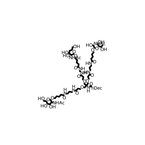 CCCCCCCCCCC(=O)NC(COCCC(=O)NCCCNC(=O)CCCCOC(OC(CO)C(C)O)C(O)NC(C)=O)(COCCC(=O)NCCCNC(=O)CCCCOC1OC(CO)C(O)C(O)C1NC(C)=O)COCCC(=O)NCNC(=O)CCCCOC1OC(CO)CC(O)(O)C1NC(C)=O